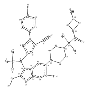 [2H]C([2H])([2H])N(c1nc(-c2ccc(F)cc2)c(C#N)s1)c1c(CC)nn2cc(F)c(N3CCN(C([2H])([2H])C(=O)N4CC(O)C4)CC3)cc12